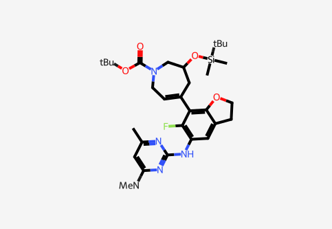 CNc1cc(C)nc(Nc2cc3c(c(C4=CCN(C(=O)OC(C)(C)C)CC(O[Si](C)(C)C(C)(C)C)C4)c2F)OCC3)n1